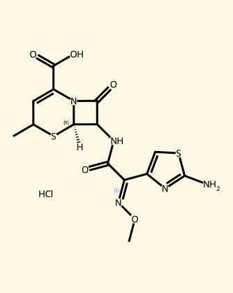 CO/N=C(/C(=O)NC1C(=O)N2C(C(=O)O)=CC(C)S[C@H]12)c1csc(N)n1.Cl